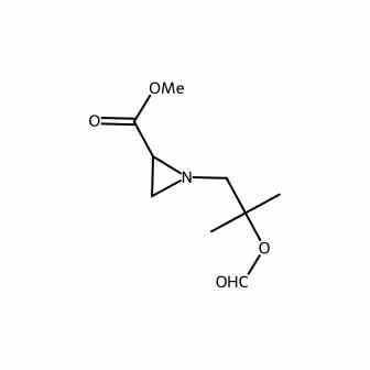 COC(=O)C1CN1CC(C)(C)OC=O